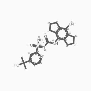 CC(C)(O)c1ccnc([S@](N)(=O)=NC(=O)Nc2c3c(c(C#N)c4c2CCC4)CCC3)c1